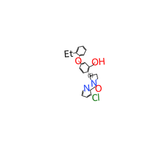 CCc1ccccc1Oc1ccc([C@@H]2CCN(C(=O)c3ncccc3Cl)C2)c(CO)c1